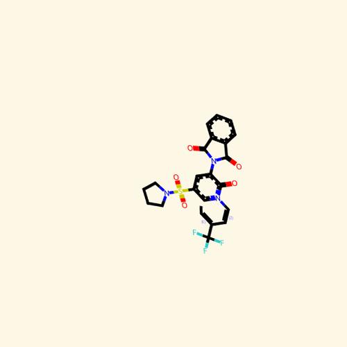 C/C=C(\C=C/n1cc(S(=O)(=O)N2CCCC2)cc(N2C(=O)c3ccccc3C2=O)c1=O)C(F)(F)F